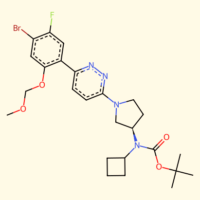 COCOc1cc(Br)c(F)cc1-c1ccc(N2CC[C@@H](N(C(=O)OC(C)(C)C)C3CCC3)C2)nn1